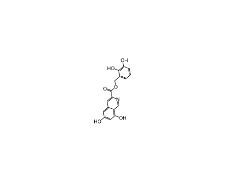 O=C(OCc1cccc(O)c1O)c1cc2cc(O)cc(O)c2cn1